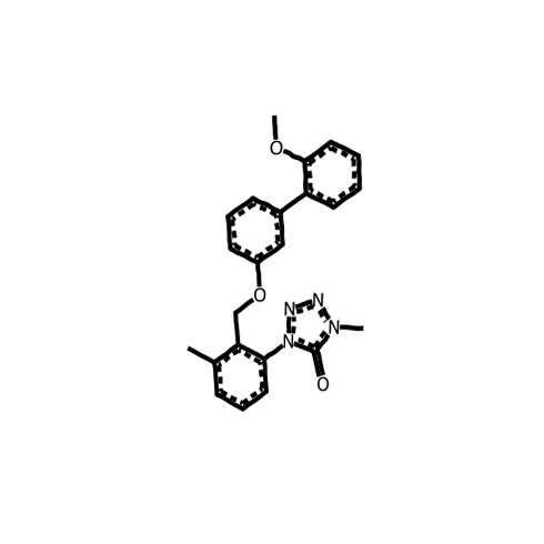 COc1ccccc1-c1cccc(OCc2c(C)cccc2-n2nnn(C)c2=O)c1